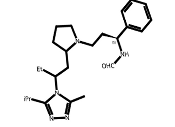 CCC(CC1CCCN1CC[C@H](NC=O)c1ccccc1)n1c(C)nnc1C(C)C